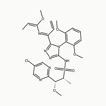 C=C/C(=N\C(=C/C)OC)c1nnc(NS(=O)(=O)[C@H](C)[C@H](OC)c2ncc(Cl)cn2)n1-c1c(OC)cccc1OC